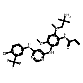 C=CC(=O)Nc1cc(Nc2cc(Nc3ccc(Cl)c(C(F)(F)F)c3)ncn2)c(OC)cc1N(C)CC(C)(C)N